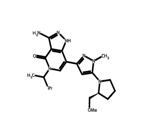 COC[C@@H]1CCCN1c1cc(-c2cn(C(C)C(C)C)c(=O)c3c(N)n[nH]c23)nn1C